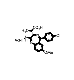 COc1ccc2c(c1)C(c1ccc(Cl)cc1)=N[C@@H](C(C)C(=O)O)C(NNC(C)=O)=N2